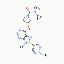 CCn1c(-c2cnc(C)nc2)nc2c(OC3CCN(C(=O)N(C)C4CC4)C3)ncnc21